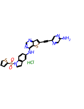 Cl.Nc1cnc(C#Cc2cc3ncnc(Nc4ccc5c(ccn5S(=O)(=O)c5cccs5)c4)c3s2)cn1